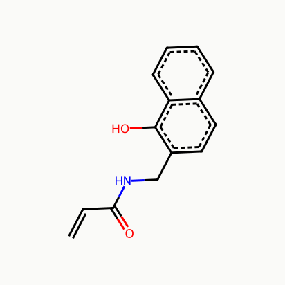 C=CC(=O)NCc1ccc2ccccc2c1O